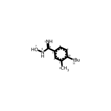 Cc1cc(C(=N)NO)ccc1C(C)(C)C